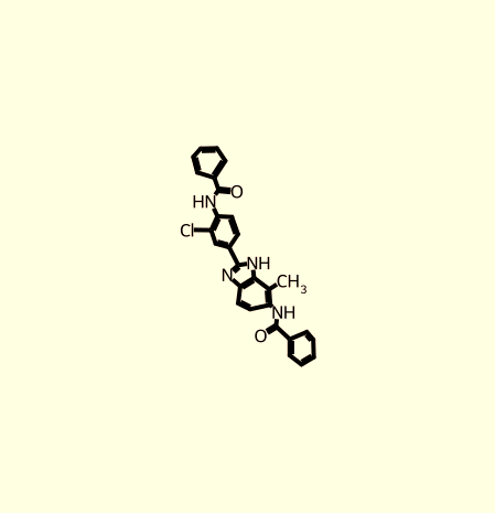 Cc1c(NC(=O)c2ccccc2)ccc2nc(-c3ccc(NC(=O)c4ccccc4)c(Cl)c3)[nH]c12